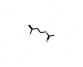 C=C(C)CCSC(C)=O